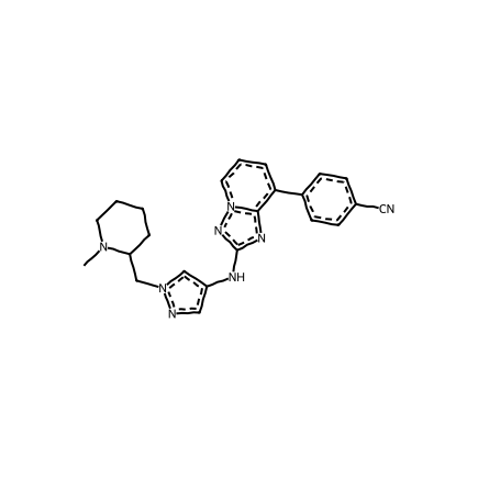 CN1CCCCC1Cn1cc(Nc2nc3c(-c4ccc(C#N)cc4)cccn3n2)cn1